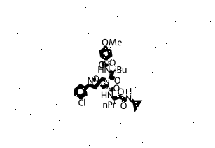 CCC[C@H](NC(=O)[C@@H]1C[C@]2(CC(c3cccc(Cl)c3)=NO2)CN1C(=O)[C@@H](NS(=O)(=O)c1ccc(OC)cc1)C(C)CC)C(=O)C(=O)NC1CC1